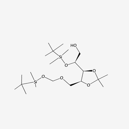 CC1(C)O[C@H]([C@H](CO)O[Si](C)(C)C(C)(C)C)[C@H](COCO[Si](C)(C)C(C)(C)C)O1